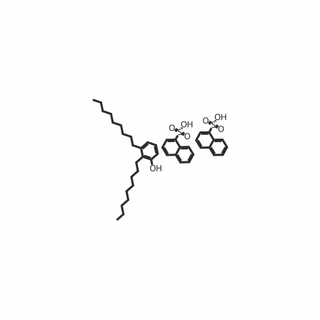 CCCCCCCCCc1cccc(O)c1CCCCCCCCC.O=S(=O)(O)c1cccc2ccccc12.O=S(=O)(O)c1cccc2ccccc12